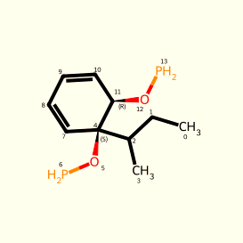 CCC(C)[C@]1(OP)C=CC=C[C@H]1OP